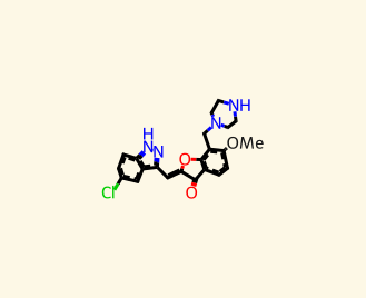 COc1ccc2c(c1CN1CCNCC1)OC(=Cc1n[nH]c3ccc(Cl)cc13)C2=O